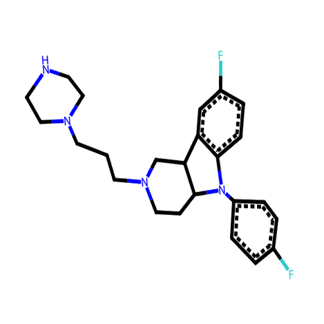 Fc1ccc(N2c3ccc(F)cc3C3CN(CCCN4CCNCC4)CCC32)cc1